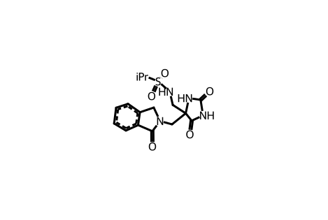 CC(C)S(=O)(=O)NCC1(CN2Cc3ccccc3C2=O)NC(=O)NC1=O